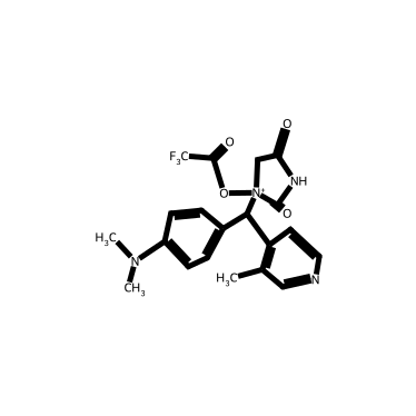 Cc1cnccc1C(c1ccc(N(C)C)cc1)[N+]1(OC(=O)C(F)(F)F)CC(=O)NC1=O